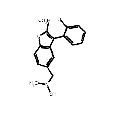 CN(C)Cc1ccc2oc(C(=O)O)c(-c3ccccc3Cl)c2c1